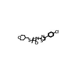 CC(C)(SCC1CCOCC1)C(=O)Nc1nc(-c2ccc(Cl)cc2)cs1